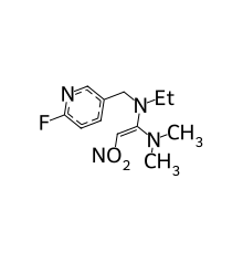 CCN(Cc1ccc(F)nc1)C(=C[N+](=O)[O-])N(C)C